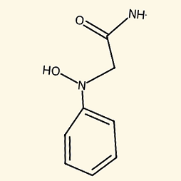 [NH]C(=O)CN(O)c1ccccc1